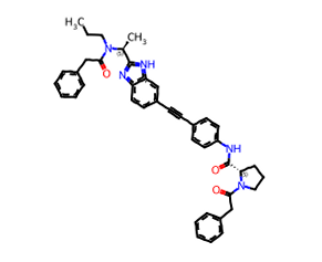 CCCN(C(=O)Cc1ccccc1)[C@@H](C)c1nc2ccc(C#Cc3ccc(NC(=O)[C@@H]4CCCN4C(=O)Cc4ccccc4)cc3)cc2[nH]1